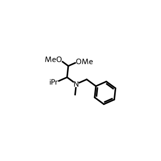 COC(OC)C(C(C)C)N(C)Cc1ccccc1